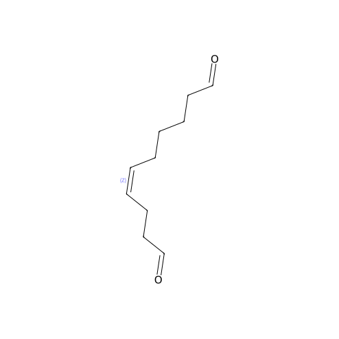 O=CCC/C=C\CCCCC=O